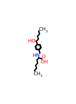 CCCCCCC(NCc1ccc(C(O)CCCCC)cc1)C(=O)O